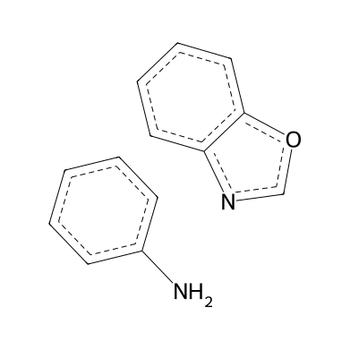 Nc1ccccc1.c1ccc2ocnc2c1